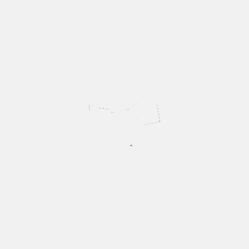 [Br][Zn][CH]1CCCC1.[Cl-].[Li+]